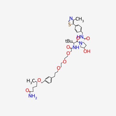 Cc1ncsc1-c1ccc(CNC(=O)[C@@H]2C[C@@H](O)CN2C(=O)[C@@H](NC(=O)COCCOCCOCCCc2ccc(CO[C@H](C)CCCC(N)=O)cc2)C(C)(C)C)cc1